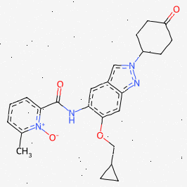 Cc1cccc(C(=O)Nc2cc3cn(C4CCC(=O)CC4)nc3cc2OCC2CC2)[n+]1[O-]